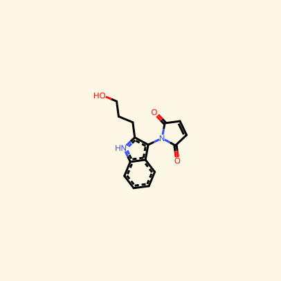 O=C1C=CC(=O)N1c1c(CCCO)[nH]c2ccccc12